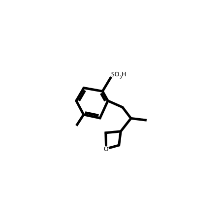 Cc1ccc(S(=O)(=O)O)c(CC(C)C2COC2)c1